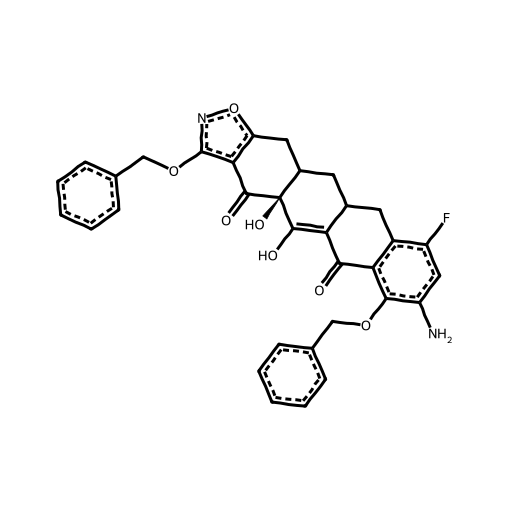 Nc1cc(F)c2c(c1OCc1ccccc1)C(=O)C1=C(O)[C@]3(O)C(=O)c4c(OCc5ccccc5)noc4CC3CC1C2